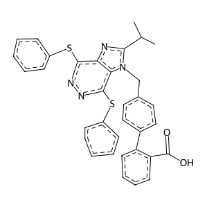 CC(C)c1nc2c(Sc3ccccc3)nnc(Sc3ccccc3)c2n1Cc1ccc(-c2ccccc2C(=O)O)cc1